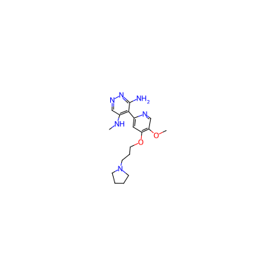 CNc1cnnc(N)c1-c1cc(OCCCN2CCCC2)c(OC)cn1